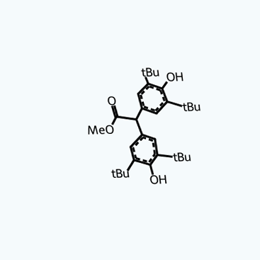 COC(=O)C(c1cc(C(C)(C)C)c(O)c(C(C)(C)C)c1)c1cc(C(C)(C)C)c(O)c(C(C)(C)C)c1